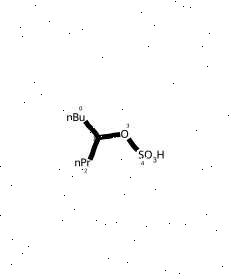 CCCCC(CCC)OS(=O)(=O)O